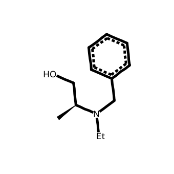 CCN(Cc1ccccc1)[C@@H](C)CO